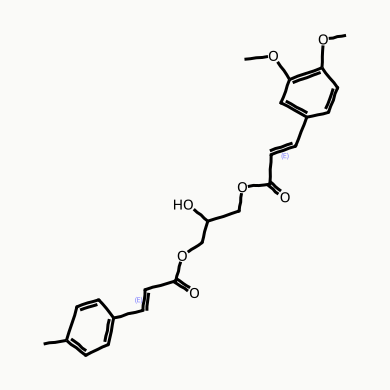 COc1ccc(/C=C/C(=O)OCC(O)COC(=O)/C=C/c2ccc(C)cc2)cc1OC